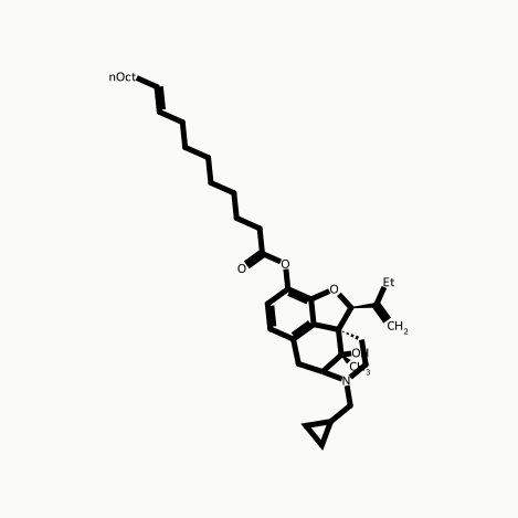 C=C(CC)[C@@H]1Oc2c(OC(=O)CCCCCCC/C=C/CCCCCCCC)ccc3c2[C@@]12CCN(CC1CC1)C(C3)[C@@]2(C)O